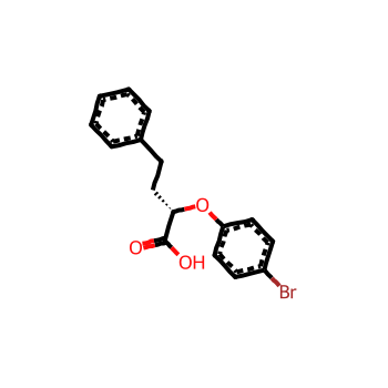 O=C(O)[C@H](CCc1ccccc1)Oc1ccc(Br)cc1